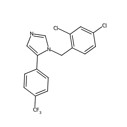 FC(F)(F)c1ccc(-c2cncn2Cc2ccc(Cl)cc2Cl)cc1